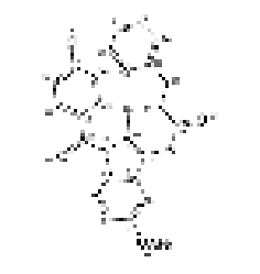 COc1ccc2c(c1)c(CC(=O)SCc1ccccc1)c(C)n2C(=O)c1ccc(Cl)cc1